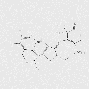 CC[C@@]1(O)C(=O)OCC2=C1/C=C1/c3nc4cc(F)c(C)c5c4c(c3CC1CCC2=O)C(NC(C)=O)CC5